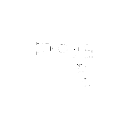 CCN(CC)c1ccc(NC(=O)c2c(C)noc2-c2cc(-c3ccco3)on2)cc1